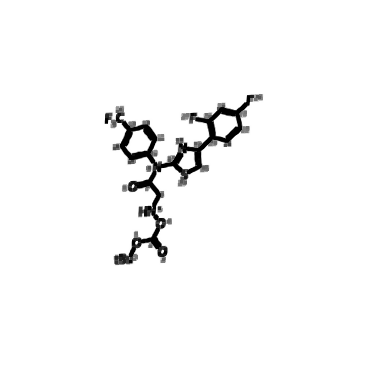 CC(C)(C)OC(=O)ONCC(=O)N(c1ccc(C(F)(F)F)cc1)c1nc(-c2ccc(F)cc2F)cs1